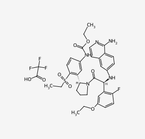 CCOC(=O)Nc1ccc(S(=O)(=O)CC)c([C@H]2CCCN2C(=O)[C@@H](Nc2ccc3c(N)nccc3c2)c2cc(OCC)ccc2F)c1.O=C(O)C(F)(F)F